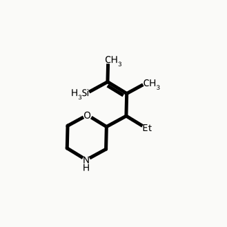 CCC(C(C)=C(C)[SiH3])C1CNCCO1